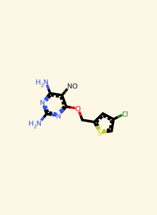 Nc1nc(N)c(N=O)c(OCc2cc(Cl)cs2)n1